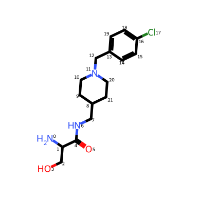 NC(CO)C(=O)NCC1CCN(Cc2ccc(Cl)cc2)CC1